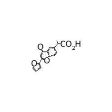 CC(C(=O)O)c1ccc2oc(-c3ccco3)cc(=O)c2c1